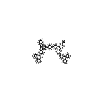 N#Cc1ccc(-c2cccc(-c3ccc4c5ccccc5c5ccccc5c4c3)c2)c(-c2ccc(-c3ccc(-c4nc(-c5ccccc5)nc(-c5ccc(-c6cc7ccccc7c7ccccc67)cc5)n4)cc3)cc2)c1